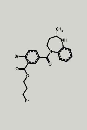 C[C@H]1CCN(C(=O)c2ccc(Br)c(C(=O)OCCCBr)c2)c2ccccc2N1